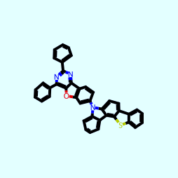 c1ccc(-c2nc(-c3ccccc3)c3oc4cc(-n5c6ccccc6c6c7sc8ccccc8c7ccc65)ccc4c3n2)cc1